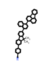 CC1(C)c2cc(-c3ccc(C#N)cc3)ccc2-c2ccc(-c3ccc(-c4ccc5c6c(cccc46)-c4ccccc4-5)c4ccccc34)cc21